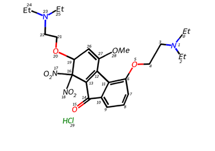 CCN(CC)CCOc1cccc2c1C1=C(C2=O)C([N+](=O)[O-])([N+](=O)[O-])C(OCCN(CC)CC)C=C1OC.Cl